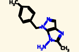 Cc1ccc(Cn2ncc3nc(C)n(N)c32)cc1